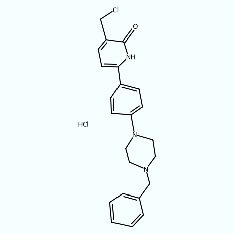 Cl.O=c1[nH]c(-c2ccc(N3CCN(Cc4ccccc4)CC3)cc2)ccc1CCl